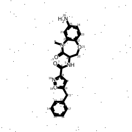 CN1C(=O)C(NC(=O)c2cc(Cc3ccccc3)on2)COc2ccc(N)cc21